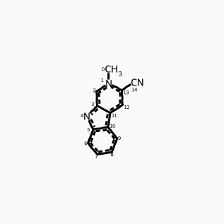 Cn1cc2nc3ccccc3c-2cc1C#N